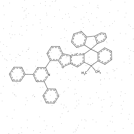 CC1(C)c2ccccc2C2(c3ccccc3-c3ccccc32)c2cc3c(cc21)oc1c(-c2cc(-c4ccccc4)cc(-c4ccccc4)n2)cccc13